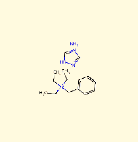 CC[N+](CC)(CC)Cc1ccccc1.N.c1nc[nH]n1